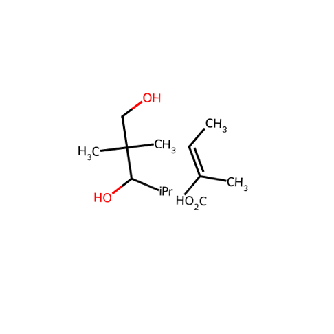 CC(C)C(O)C(C)(C)CO.CC=C(C)C(=O)O